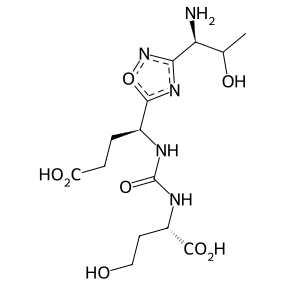 CC(O)[C@H](N)c1noc([C@H](CCC(=O)O)NC(=O)N[C@@H](CCO)C(=O)O)n1